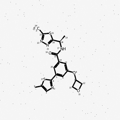 Cc1cnc(-c2cc(OC3COC3)cc(C(=O)N[C@H](C)c3nnc(C(F)(F)F)s3)c2)s1